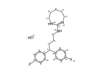 Cl.Fc1ccc(C(CCCN/C2=N/CCCCCN2)c2ccc(F)cc2)cc1